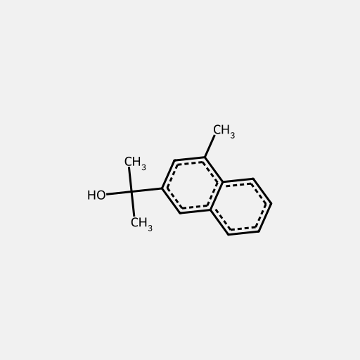 Cc1cc(C(C)(C)O)cc2ccccc12